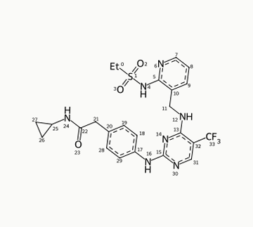 CCS(=O)(=O)Nc1ncccc1CNc1nc(Nc2ccc(CC(=O)NC3CC3)cc2)ncc1C(F)(F)F